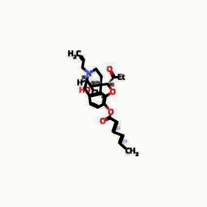 C=CCN1CC[C@]23c4c(ccc(OC(=O)/C=C/C=C/C)c4O[C@H]2C(=O)CC)C[C@@H]1[C@@]3(C)O